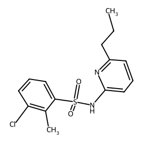 CCCc1cccc(NS(=O)(=O)c2cccc(Cl)c2C)n1